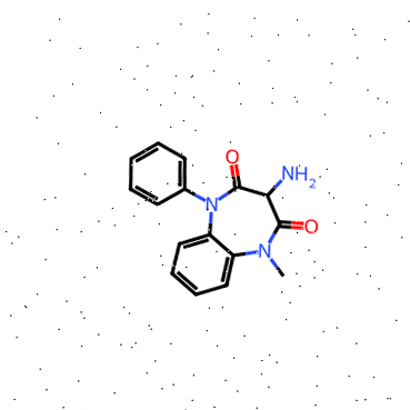 CN1C(=O)C(N)C(=O)N(c2ccccc2)c2ccccc21